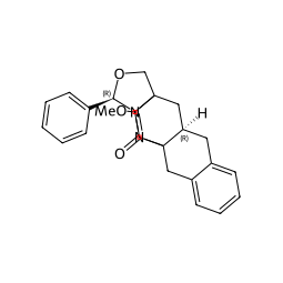 COC1=NC23Cc4ccccc4C[C@@H]2CC12CO[C@H](c1ccccc1)N2C3=O